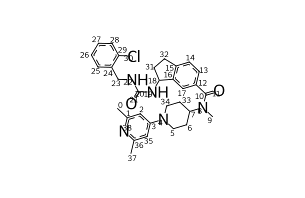 Cc1cc(N2CCC(N(C)C(=O)c3ccc4c(c3)C(NC(=O)NCc3ccccc3Cl)CC4)CC2)cc(C)n1